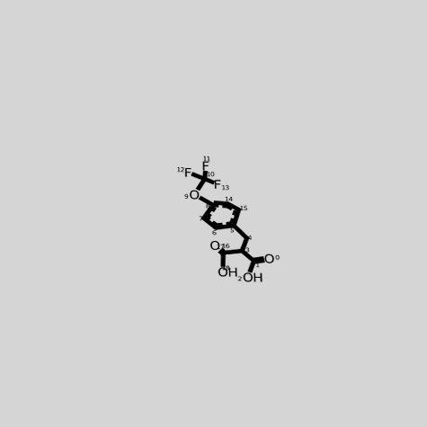 O=C(O)C(Cc1ccc(OC(F)(F)F)cc1)C(=O)O